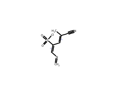 C=N/C=C(\C=C(/C)C#N)S(=O)(=O)Cl